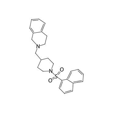 O=S(=O)(c1cccc2ccccc12)N1CCC(CN2CCc3ccccc3C2)CC1